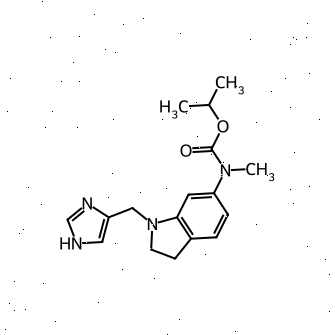 CC(C)OC(=O)N(C)c1ccc2c(c1)N(Cc1c[nH]cn1)CC2